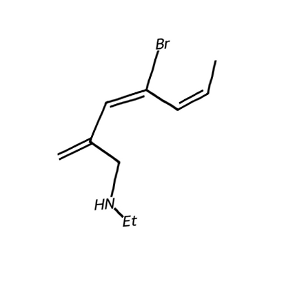 C=C(/C=C(Br)\C=C/C)CNCC